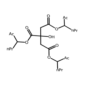 CCCC(OC(=O)CC(O)(CC(=O)OC(CCC)C(C)=O)C(=O)OC(CCC)C(C)=O)C(C)=O